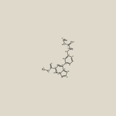 C=C(OCC)c1nc(-c2cccc(CNC(=O)OC(C)(C)C)c2)c2cccn2n1